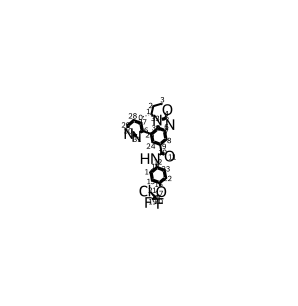 C[C@@H]1CCOc2nc3cc(C(=O)Nc4ccc(OC(F)(F)Cl)cc4)cc(-c4cccnn4)c3n21